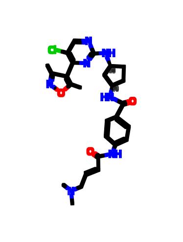 Cc1noc(C)c1-c1nc(N[C@H]2CC[C@@H](NC(=O)c3ccc(NC(=O)C=CCN(C)C)cc3)C2)ncc1Cl